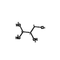 OC(O)C(O)CCl